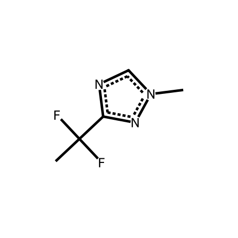 Cn1cnc(C(C)(F)F)n1